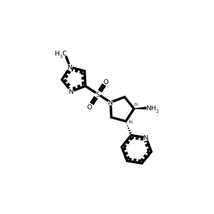 Cn1cnc(S(=O)(=O)N2C[C@@H](N)[C@H](c3ccccn3)C2)c1